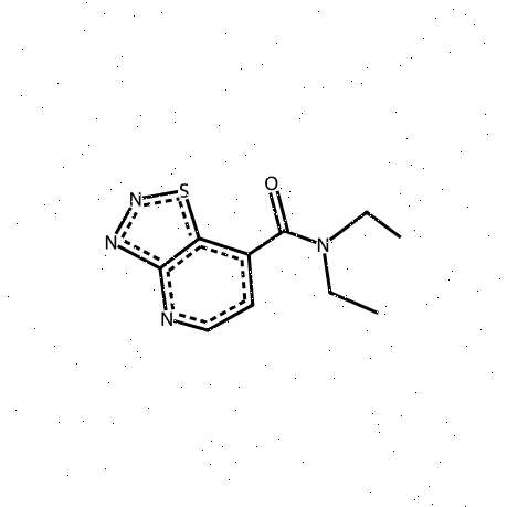 CCN(CC)C(=O)c1ccnc2nnsc12